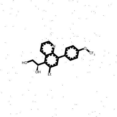 CCc1cc(-c2ccc(OC(F)(F)F)cc2)c2ncccc2c1[C@@H](O)CO